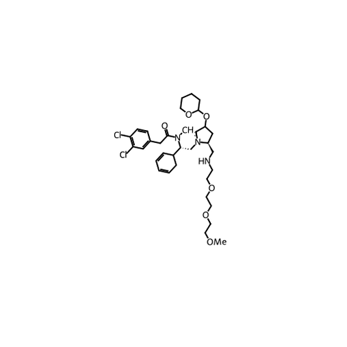 COCCOCCOCCNC[C@@H]1CC(OC2CCCCO2)CN1C[C@H](C1C=CC=CC1)N(C)C(=O)Cc1ccc(Cl)c(Cl)c1